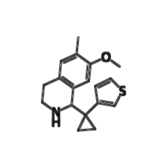 COc1cc2c(cc1C)CCNC2C1(c2ccsc2)CC1